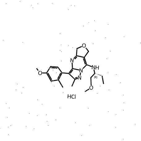 CC[C@H](COC)Nc1c2c(nc3c(-c4ccc(OC)cc4C)c(C)nn13)COC2.Cl